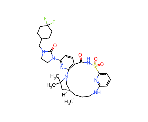 C[C@H]1CCNc2cccc(n2)S(=O)(=O)NC(=O)c2ccc(N3CCN(CC4CCC(F)(F)CC4)C3=O)nc2N2C[C@@H]1CC2(C)C